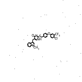 Cn1cc(Cc2c[nH]c(SCc3ccc(Oc4ccc(Cl)c(C(F)(F)F)c4)cc3)nc2=O)c2ccccc21